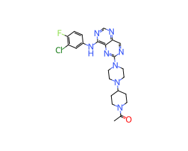 CC(=O)N1CCC(N2CCN(c3ncc4ncnc(Nc5ccc(F)c(Cl)c5)c4n3)CC2)CC1